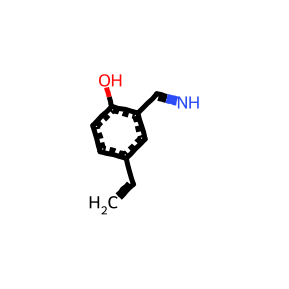 C=Cc1ccc(O)c(C=N)c1